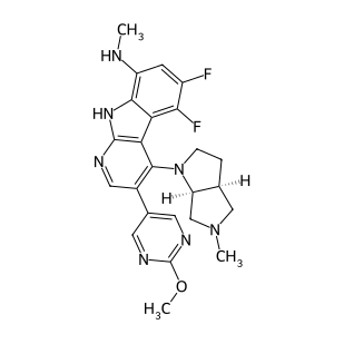 CNc1cc(F)c(F)c2c1[nH]c1ncc(-c3cnc(OC)nc3)c(N3CC[C@H]4CN(C)C[C@H]43)c12